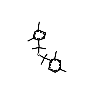 Cc1ccc(C(C)(C)OC(C)(C)c2ccc(C)cc2C)c(C)c1